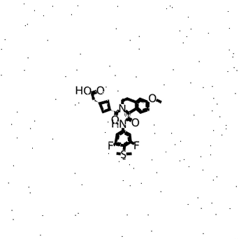 COc1ccc2c(c1)CCN(C(=O)[C@H]1C[C@@H](CC(=O)O)C1)[C@H]2C(=O)Nc1cc(F)c(S(C)(C)C)c(F)c1